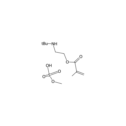 C=C(C)C(=O)OCCNC(C)(C)C.COS(=O)(=O)O